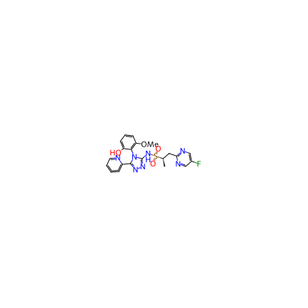 COc1cccc(O)c1-n1c(NS(=O)(=O)[C@H](C)Cc2ncc(F)cn2)nnc1C1=C=C=CC=N1